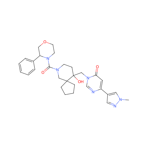 Cn1cc(-c2cc(=O)n(CC3(O)CCN(C(=O)N4CCOCC4c4ccccc4)CC34CCCC4)cn2)cn1